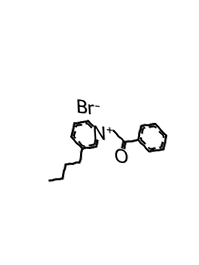 CCCCc1ccc[n+](CC(=O)c2ccccc2)c1.[Br-]